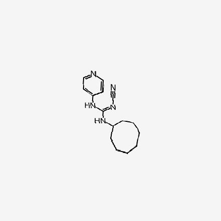 N#CN=C(Nc1ccncc1)NC1CCCCCCC1